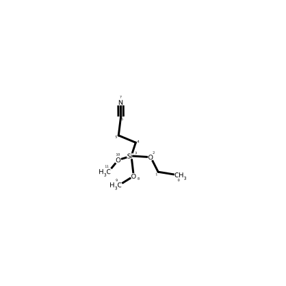 CCO[Si](CCC#N)(OC)OC